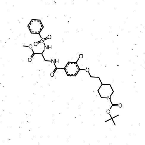 COC(=O)C(CNC(=O)c1ccc(OCCC2CCN(C(=O)OC(C)(C)C)CC2)c(Cl)c1)NS(=O)(=O)c1ccccc1